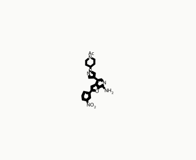 CC(=O)N1CCC(n2cc(-c3cnc(N)c4oc(-c5cccc([N+](=O)[O-])c5)cc34)cn2)CC1